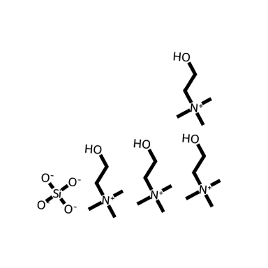 C[N+](C)(C)CCO.C[N+](C)(C)CCO.C[N+](C)(C)CCO.C[N+](C)(C)CCO.[O-][Si]([O-])([O-])[O-]